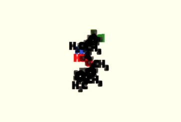 CC(C)c1ccccc1-c1cccc(C(C)OC[C@H](O)CNC(C)(C)Cc2ccc(Cl)c(F)c2)c1